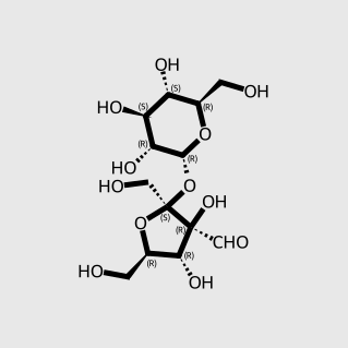 O=C[C@]1(O)[C@H](O)[C@@H](CO)O[C@@]1(CO)O[C@H]1O[C@H](CO)[C@@H](O)[C@H](O)[C@H]1O